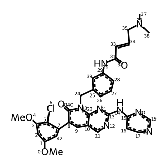 COc1cc(OC)c(Cl)c(-c2cc3cnc(Nc4ccncn4)nc3n(Cc3cccc(NC(=O)/C=C/CN(C)C)c3)c2=O)c1